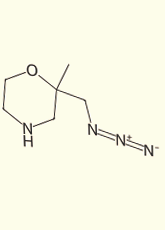 CC1(CN=[N+]=[N-])CNCCO1